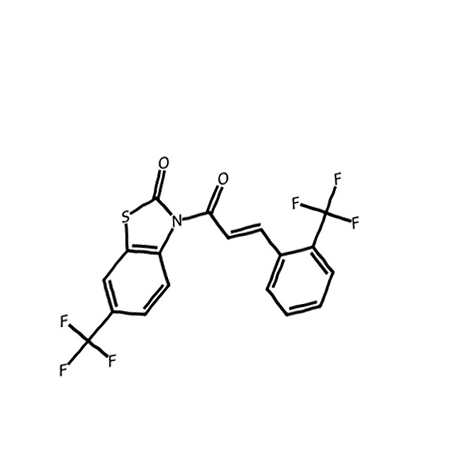 O=C(C=Cc1ccccc1C(F)(F)F)n1c(=O)sc2cc(C(F)(F)F)ccc21